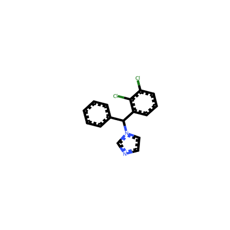 Clc1cccc(C(c2ccccc2)n2ccnc2)c1Cl